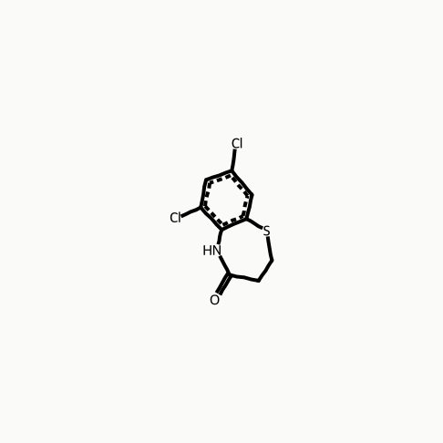 O=C1CCSc2cc(Cl)cc(Cl)c2N1